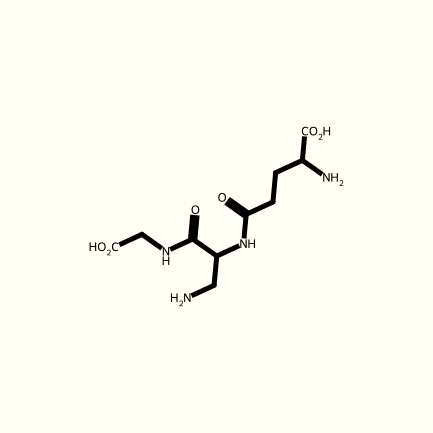 NCC(NC(=O)CCC(N)C(=O)O)C(=O)NCC(=O)O